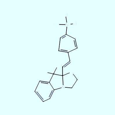 CC1(C)c2ccccc2N2CCOC21C=Cc1ccc([N+](C)(C)C)cc1